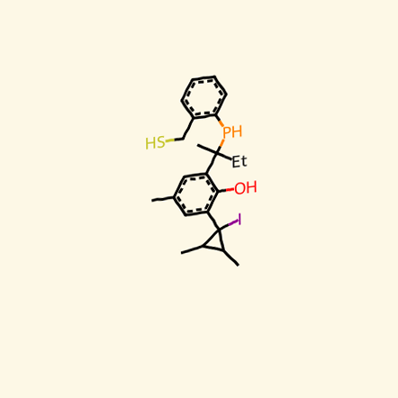 CCC(C)(Pc1ccccc1CS)c1cc(C)cc(C2(I)C(C)C2C)c1O